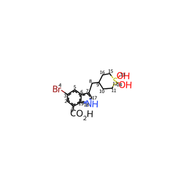 O=C(O)c1cc(Br)cc2c(CC3CCS(O)(O)CC3)c[nH]c12